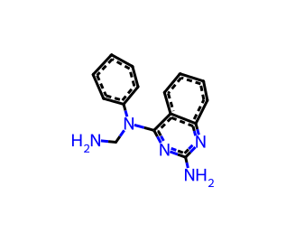 NCN(c1ccccc1)c1nc(N)nc2ccccc12